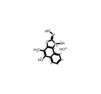 CCC/N=c1\sc2c(C)c(O)c3ccccc3c2n1CCC.Cl